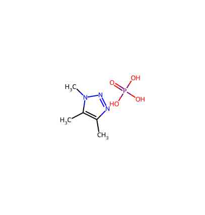 Cc1nnn(C)c1C.O=P(O)(O)O